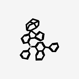 c1ccc(-c2ccc(N(c3ccccc3)c3cccc4c3-c3ccccc3C43C4CC5CC(C4)CC3C5)c3ccccc23)cc1